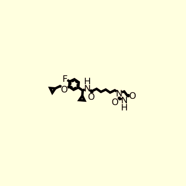 O=C1CN(CCCCCC(=O)NC(c2ccc(F)c(OCC3CC3)c2)C2CC2)C(=O)N1